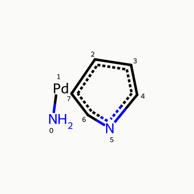 [NH2][Pd].c1ccncc1